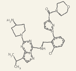 CC(C)c1cnn2c(NCc3c(Cl)cccc3-n3ccc(C(=O)N4CCOCC4)n3)nc(N3CCC(N)CC3)nc12